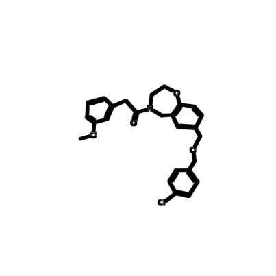 COc1cccc(CC(=O)N2CCOc3ccc(COCc4ccc(Cl)cc4)cc3C2)c1